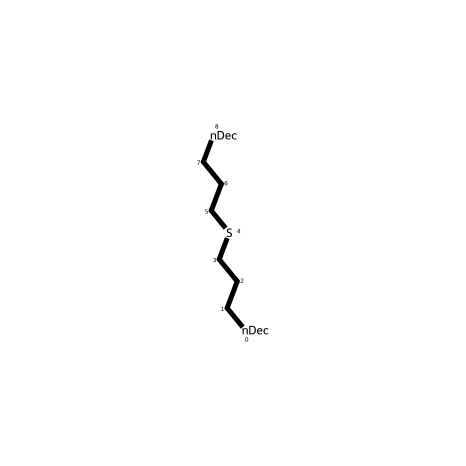 CCCCCCCCCCCCCSCCCCCCCCCCCCC